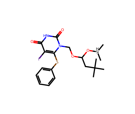 C[SiH](C)OC(CC(C)(C)C)OCn1c(Sc2ccccc2)c(I)c(=O)[nH]c1=O